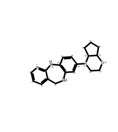 c1cnc2c(c1)CNc1cc(N3CCOC4CCCC43)ccc1N2